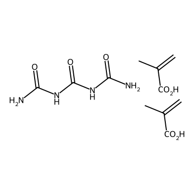 C=C(C)C(=O)O.C=C(C)C(=O)O.NC(=O)NC(=O)NC(N)=O